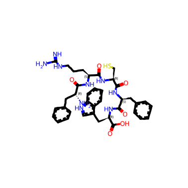 N=C(N)NCCC[C@H](NC(=O)[C@H](N)Cc1ccccc1)C(=O)N[C@@H](CS)C(=O)N[C@@H](Cc1ccccc1)C(=O)N[C@H](Cc1c[nH]c2ccccc12)C(=O)O